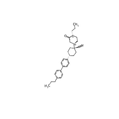 CCCc1ccc(-c2ccc([C@H]3CC[C@@](C#N)([C@@H]4CC[C@@H](CCC)C(=O)C4)CC3)cc2)cc1